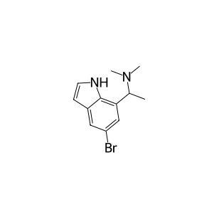 CC(c1cc(Br)cc2cc[nH]c12)N(C)C